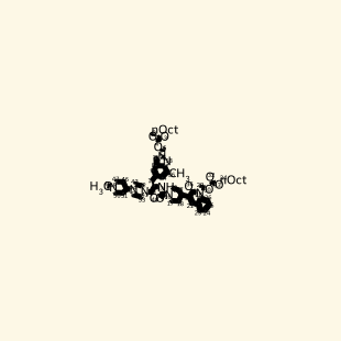 CCCCCCCCOC(=O)OCn1cc2cc(C[C@@H](NC(=O)N3CCC(c4cc5ccccc5n(COC(=O)OCCCCCCCC)c4=O)CC3)C(=O)N3CCN(C4CCN(C)CC4)CC3)cc(C)c2n1